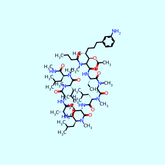 CCCC(=O)N(C)C(C(=O)N[C@@H](CC)C(=O)N(C)CC(=O)N(C)[C@@H](CC(C)C)C(=O)N[C@H](C(=O)N(C)[C@@H](CC(C)C)C(=O)N[C@H](C)C(=O)NCC(=O)N(C)[C@@H](CC(C)C)C(=O)N(C)[C@@H](CC(C)C)C(=O)NC)C(C)C)[C@H](OC(C)=O)[C@H](C)CCCc1cccc(N)c1